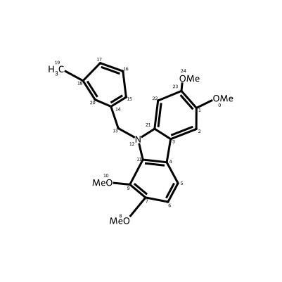 COc1cc2c3ccc(OC)c(OC)c3n(Cc3cccc(C)c3)c2cc1OC